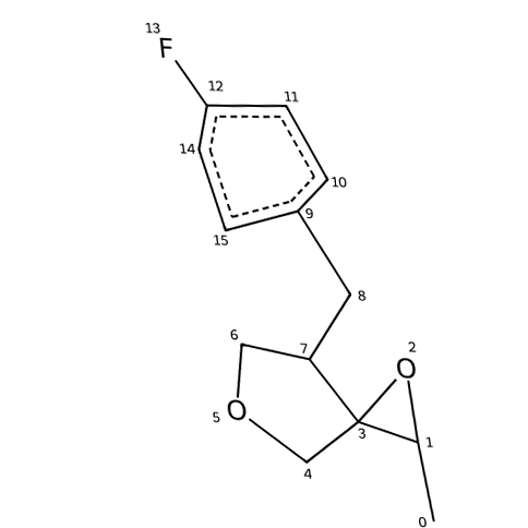 CC1OC12COCC2Cc1ccc(F)cc1